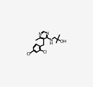 Cc1ncnc(NCC(C)(C)O)c1Cc1ccc(Cl)cc1Cl